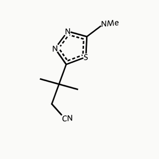 CNc1nnc(C(C)(C)CC#N)s1